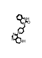 O=C1Nc2ccccc2CN1CC1CCN(c2ncnc3c2CNCC3)CC1